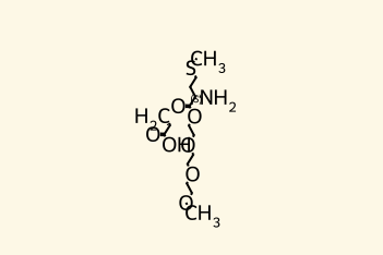 C=CC(=O)O.COCCOCCOCCOC(=O)[C@@H](N)CCSC